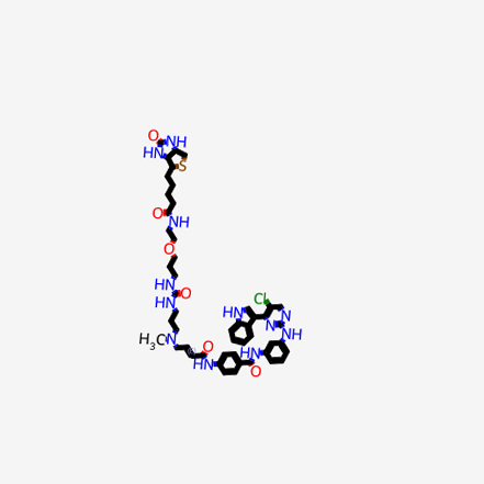 CN(C/C=C/C(=O)Nc1ccc(C(=O)Nc2cccc(Nc3ncc(Cl)c(-c4c[nH]c5ccccc45)n3)c2)cc1)CCCNC(=O)NCCCOCCNC(=O)CCCCC1SCC2NC(=O)NC21